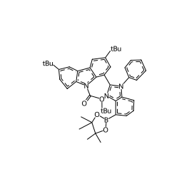 CC(C)(C)OC(=O)n1c2ccc(C(C)(C)C)cc2c2cc(C(C)(C)C)cc(-c3nc4c(B5OC(C)(C)C(C)(C)O5)cccc4n3-c3ccccc3)c21